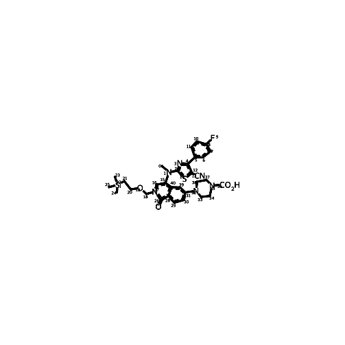 CN(c1nc(-c2ccc(F)cc2)c(C#N)s1)c1cn(COCC[Si](C)(C)C)c(=O)c2ccc(N3CCN(C(=O)O)CC3)cc12